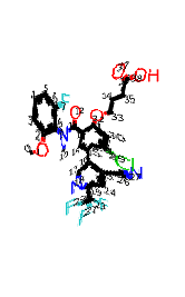 COc1cccc(F)c1N(C)C(=O)c1cc(-c2cnc(C(F)(F)F)cc2C#N)c(Cl)cc1OCCCC(=O)O